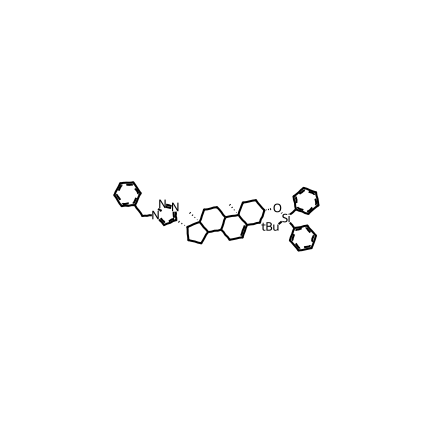 CC(C)(C)[Si](O[C@H]1CC[C@@]2(C)C(=CCC3C2CC[C@@]2(C)C3CC[C@@H]2c2cn(Cc3ccccc3)nn2)C1)(c1ccccc1)c1ccccc1